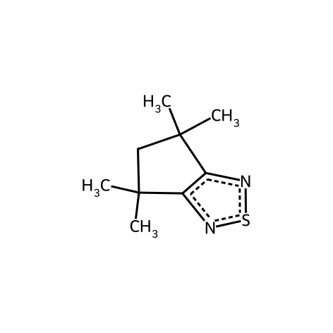 CC1(C)CC(C)(C)c2nsnc21